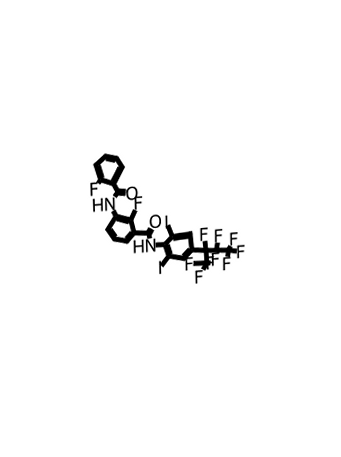 O=C(Nc1cccc(C(=O)Nc2c(I)cc(C(F)(C(F)(F)F)C(F)(F)C(F)(F)F)cc2I)c1F)c1ccccc1F